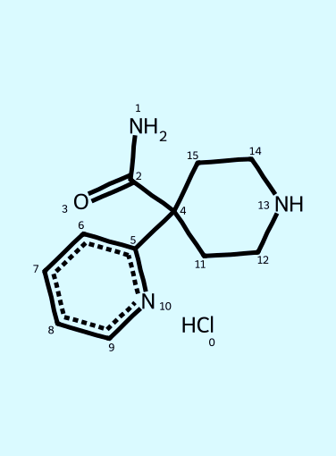 Cl.NC(=O)C1(c2ccccn2)CCNCC1